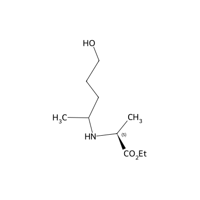 CCOC(=O)[C@H](C)NC(C)CCCO